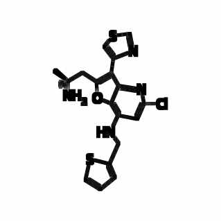 C[C@H](N)Cc1oc2c(NCc3cccs3)cc(Cl)nc2c1-c1cscn1